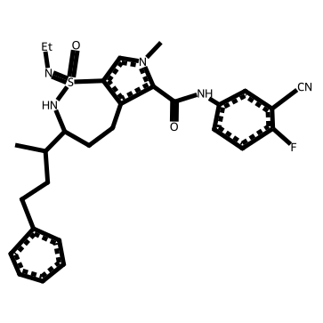 CCN=S1(=O)NC(C(C)CCc2ccccc2)CCc2c1cn(C)c2C(=O)Nc1ccc(F)c(C#N)c1